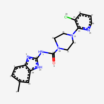 Cc1ccc2nc(NC(=O)N3CCN(c4ncccc4Cl)CC3)[nH]c2c1